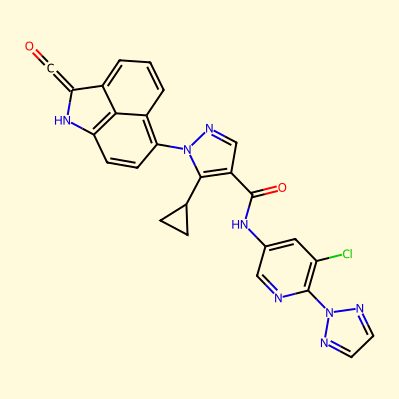 O=C=c1[nH]c2ccc(-n3ncc(C(=O)Nc4cnc(-n5nccn5)c(Cl)c4)c3C3CC3)c3cccc1c23